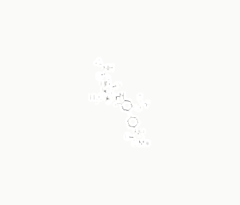 COC(=O)Nc1ccc(-c2cc3sc(C(C(=O)NCC(=O)NC4CC4)S(C)(=O)=O)nc3cc2OC(F)F)cc1